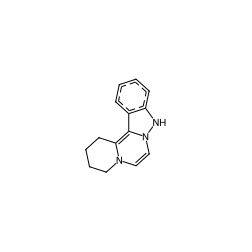 C1=CN2Nc3ccccc3C2=C2CCCCN12